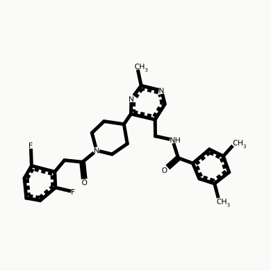 Cc1cc(C)cc(C(=O)NCc2cnc(C)nc2C2CCN(C(=O)Cc3c(F)cccc3F)CC2)c1